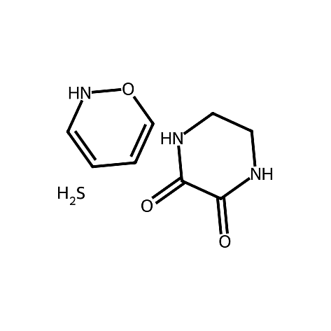 C1=CNOC=C1.O=C1NCCNC1=O.S